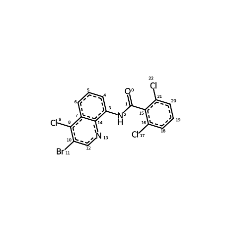 O=C(Nc1cccc2c(Cl)c(Br)cnc12)c1c(Cl)cccc1Cl